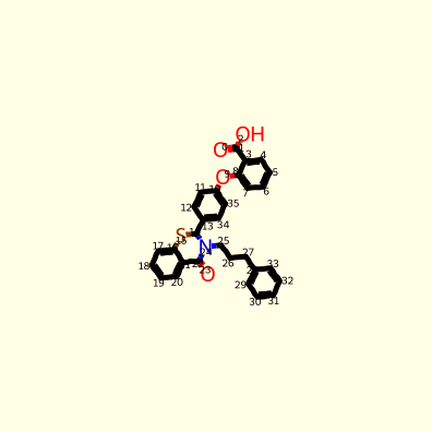 O=C(O)c1ccccc1Oc1ccc(C2Sc3ccccc3C(=O)N2CCCc2ccccc2)cc1